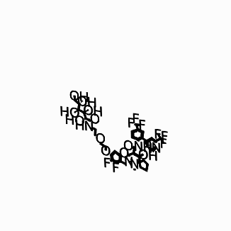 CN1N(Cc2ccc(OCCOCCNC(=O)[C@@H](O)[C@H](O)[C@@H](O)[C@@H](O)CO)c(F)c2F)C(=O)C(C(=O)Nc2ccc(C(F)(F)F)cc2-c2cc(C(F)(F)F)ncn2)=C(O)C12CCCC2